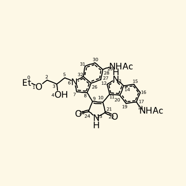 CCOCC(O)Cn1cc(C2=C(c3c[nH]c4ccc(NC(C)=O)cc34)C(=O)NC2=O)c2cc(NC(C)=O)ccc21